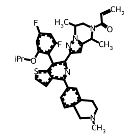 C=CC(=O)N1CC(C)n2nc(-c3nc(-c4ccc5c(c4)CCN(C)C5)c4ccsc4c3-c3c(F)cc(F)cc3OC(C)C)cc2C1C